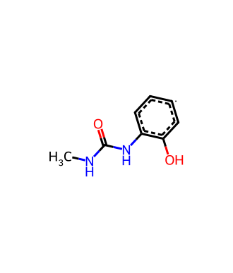 CNC(=O)Nc1cc[c]cc1O